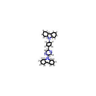 c1ccc2c(c1)c1ccccc1n2-c1ccc(-c2cnc(-n3c4ccccc4c4ccccc43)cn2)cc1